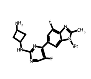 Cc1nc2c(F)cc(-c3nc(NC4CC(N)C4)ncc3F)cc2n1C(C)C